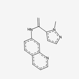 C=C(Nc1ccc2cccnc2c1)c1ccnn1C